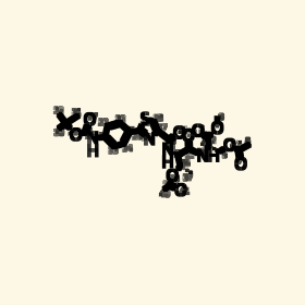 COC(=O)[C@H](COC(C)=O)NC(=O)[C@@H](NC(=O)c1csc(-c2ccc(NC(=O)OC(C)(C)C)cc2)n1)[C@H](C)OC(C)=O